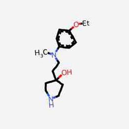 CCOc1ccc(N(C)CCC2(O)CCNCC2)cc1